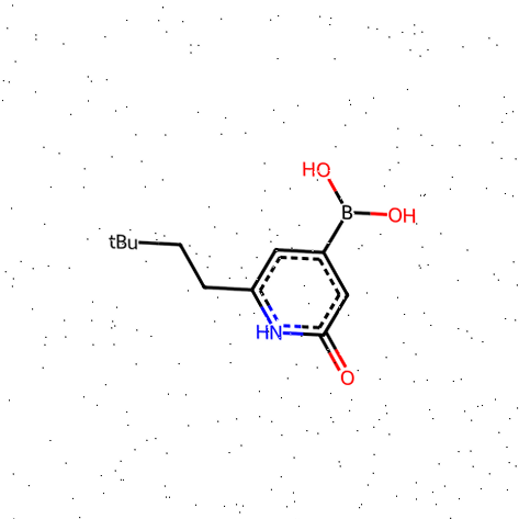 CC(C)(C)CCc1cc(B(O)O)cc(=O)[nH]1